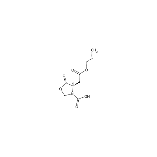 C=CCOC(=O)C[C@@H]1C(=O)OCN1C(=O)O